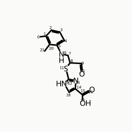 Cc1cccc(NCC(C=O)Sc2nc(C(=O)O)c[nH]2)c1C